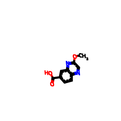 COc1cnc2ccc(C(=O)O)cc2n1